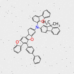 CC1(C)c2ccccc2-c2ccc(N(C3=CCC4C(=C3)Oc3c4cc4oc5ccccc5c4c3-c3ccc(-c4ccccc4)cc3)c3cccc4c3oc3ccccc34)cc21